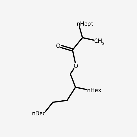 CCCCCCCCCCCCC(CCCCCC)COC(=O)C(C)CCCCCCC